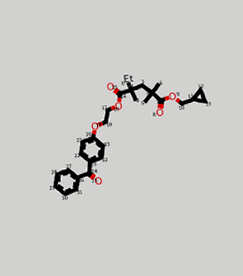 CCC(C)(CC(C)(C)C(=O)OCC1CC1)C(=O)OCCOc1ccc(C(=O)c2ccccc2)cc1